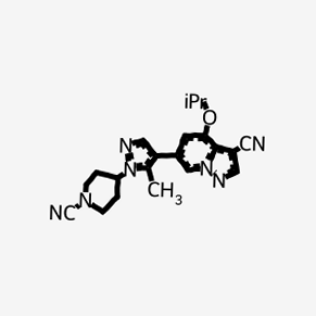 Cc1c(-c2cc(OC(C)C)c3c(C#N)cnn3c2)cnn1C1CCN(C#N)CC1